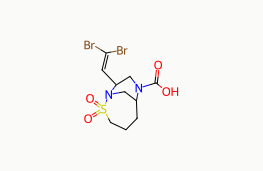 O=C(O)N1CC(C=C(Br)Br)N2CC1CCCS2(=O)=O